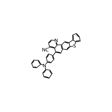 N#Cc1ccnc2c1c(-c1ccc(N(c3ccccc3)c3ccccc3)cc1)cc1cc3sc4ccccc4c3cc12